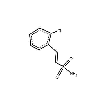 NS(=O)(=O)C=Cc1ccccc1Cl